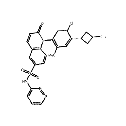 COC1=C(n2c(=O)ccc3cc(S(=O)(=O)Nc4cccnn4)ccc32)CC(Cl)C([C@H]2C[C@H](C(F)(F)F)C2)=C1